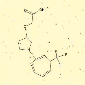 O=C(O)COC1CCN(C2=CC(C(F)(F)F)C=CC=C2)C1